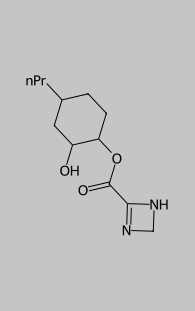 CCCC1CCC(OC(=O)C2=NCN2)C(O)C1